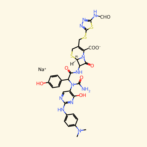 CN(C)c1ccc(Nc2ncc(N(C(N)=O)C(C(=O)NC3C(=O)N4C(C(=O)[O-])=C(CSc5nnc(NC=O)s5)CS[C@H]34)c3ccc(O)cc3)c(O)n2)cc1.[Na+]